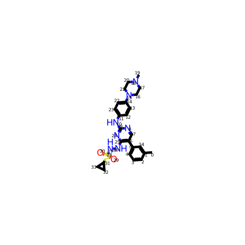 Cc1cccc(-c2cnc(Nc3ccc(N4CCN(C)CC4)cc3)nc2NNS(=O)(=O)C2CC2)c1